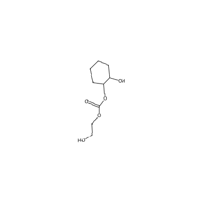 O=C(OCCO)OC1CCCCC1O